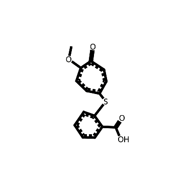 COc1ccc(Sc2ccccc2C(=O)O)ccc1=O